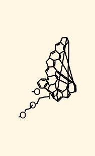 COCCOCCN1CC2C3=c4c5c6c7c8c9c(cc%10c%11c%12c%13c%14c(cc%15c%16c(c4c6c(c%16%14)c%13c7c%119)=C(C3)C%15)=CC%12C%10)=CC3CC2(C=5C83)C1c1ccccc1OC